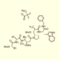 CC[C@H](C)[C@@H]([C@@H](CC(=O)N1CCC[C@H]1[C@H](OC)[C@@H](C)C(=O)N[C@@H](Cc1c[nH]c2ccccc12)C(=O)NCc1ccccc1)OC)N(C)C(=O)[C@@H](NC(=O)[C@@H](NC)C(C)C)C(C)C.O=C([O-])C(F)(F)F.[Na+]